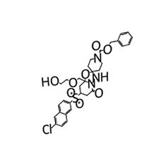 O=C(OCc1ccccc1)N1CCC2(CC1)NN1C(=O)CC(S(=O)(=O)c3ccc4cc(Cl)ccc4c3)CC1(COCCO)O2